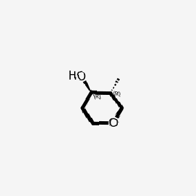 C[C@@H]1COCC[C@H]1O